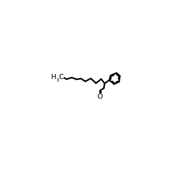 CCCCCCCCCC(CC=O)c1ccccc1